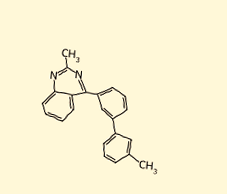 Cc1cccc(-c2cccc(-c3nc(C)nc4ccccc34)c2)c1